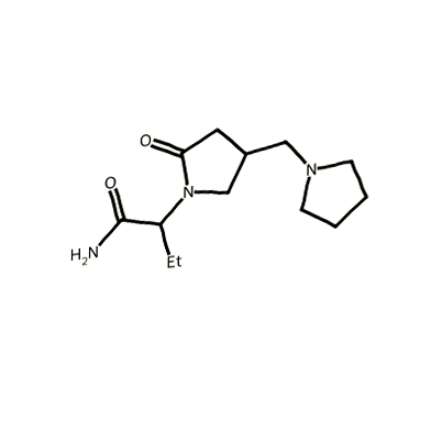 CCC(C(N)=O)N1CC(CN2CCCC2)CC1=O